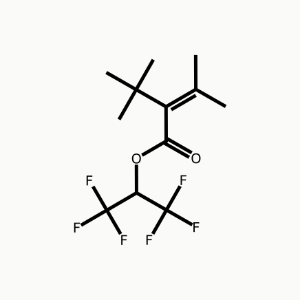 CC(C)=C(C(=O)OC(C(F)(F)F)C(F)(F)F)C(C)(C)C